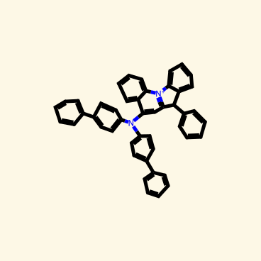 c1ccc(-c2ccc(N(c3ccc(-c4ccccc4)cc3)c3cc4[n+](c5ccccc35)-c3ccccc3C4c3ccccc3)cc2)cc1